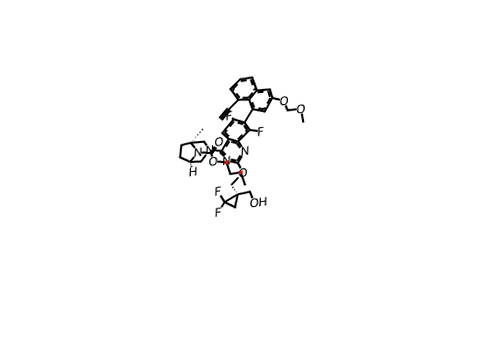 C#Cc1cccc2cc(OCOC)cc(-c3c(F)cc4c(N5C[C@H]6CC[C@@](C)(C5)N6C(=O)OCCCC)nc(OC[C@]5(CO)CC5(F)F)nc4c3F)c12